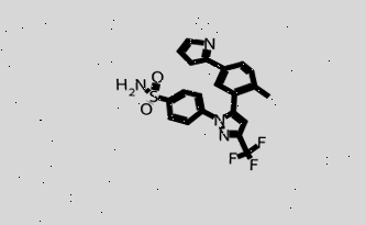 Cc1ccc(C2=NC=CC2)cc1-c1cc(C(F)(F)F)nn1-c1ccc(S(N)(=O)=O)cc1